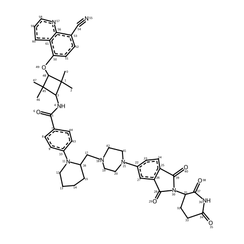 CC1(C)C(NC(=O)c2ccc(N3CCCCC3CN3CCN(c4ccc5c(c4)C(=O)N(C4CCC(=O)NC4=O)C5=O)CC3)cc2)C(C)(C)C1Oc1ccc(C#N)c2ncccc12